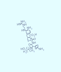 CC(C)(O/N=C(\C(=O)N[C@@H]1C(=O)N2C(C(=O)O)=C(C[N+]3=CC(NCCNC(=N)N)=C(N)C=C=C3)CSC12)c1csc(N)n1)C(=O)O